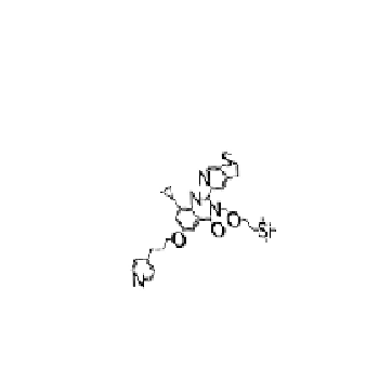 C[Si](C)(C)CCOCn1c(-c2cc3ccsc3cn2)nc2c(C3CC3)cc(OCCCc3ccncc3)cc2c1=O